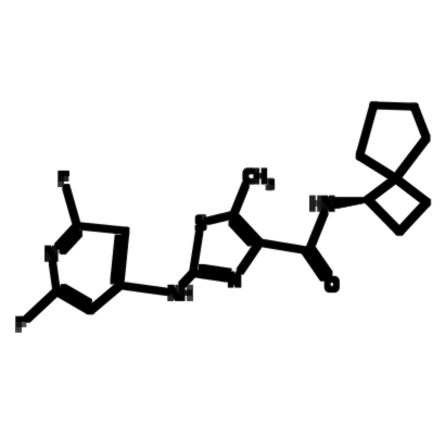 Cc1sc(Nc2cc(F)nc(F)c2)nc1C(=O)N[C@@H]1CCC12CCCC2